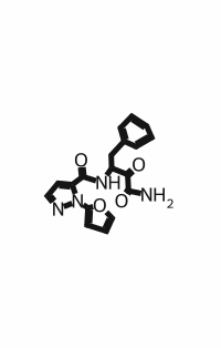 NC(=O)C(=O)C(Cc1ccccc1)NC(=O)c1ccnn1-c1ccco1